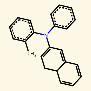 Cc1ccccc1N(C1=CCC2C=CC=CC2=C1)c1ccccc1